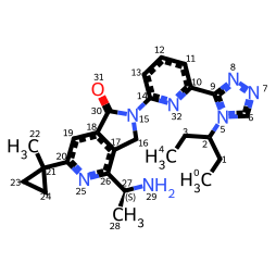 CCC(CC)n1cnnc1-c1cccc(N2Cc3c(cc(C4(C)CC4)nc3[C@H](C)N)C2=O)n1